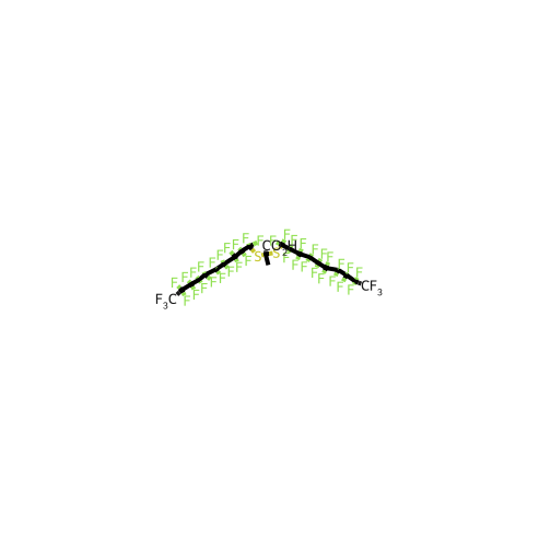 CC(SC(F)(F)C(F)(F)C(F)(F)C(F)(F)C(F)(F)C(F)(F)C(F)(F)C(F)(F)C(F)(F)C(F)(F)F)(SC(F)(F)C(F)(F)C(F)(F)C(F)(F)C(F)(F)C(F)(F)C(F)(F)C(F)(F)C(F)(F)C(F)(F)F)C(=O)O